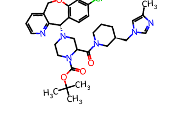 Cc1cn(C[C@@H]2CCCN(C(=O)C3CN([C@H]4c5ccc(Cl)cc5OCc5cccnc54)CCN3C(=O)OC(C)(C)C)C2)cn1